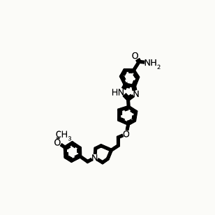 COc1ccc(CN2CCC(CCOc3ccc(-c4nc5cc(C(N)=O)ccc5[nH]4)cc3)CC2)cc1